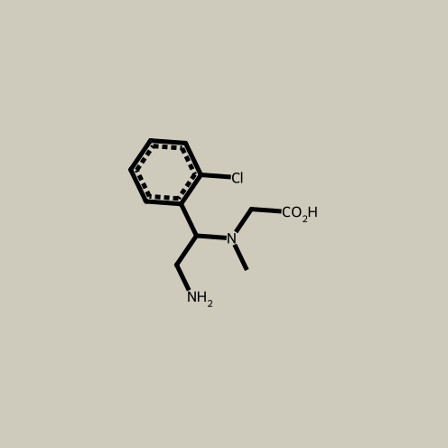 CN(CC(=O)O)C(CN)c1ccccc1Cl